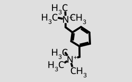 C[N+](C)(C)Cc1cccc(C[N+](C)(C)C)c1